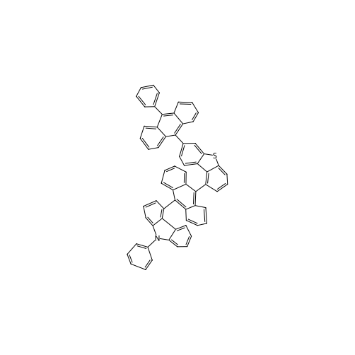 c1ccc(-c2c3ccccc3c(-c3ccc4c(c3)sc3cccc(-c5c6ccccc6c(-c6cccc7c6c6ccccc6n7-c6ccccc6)c6ccccc56)c34)c3ccccc23)cc1